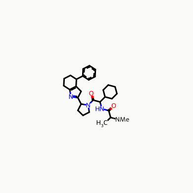 CNC(C)C(=O)NC(C(=O)N1CCCC1C1=NC2=C(C1)C(c1ccccc1)CCC2)C1CCCCC1